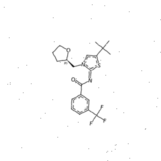 CC(C)(C)c1cn(C[C@H]2CCCO2)c(=NC(=O)c2cccc(C(F)(F)F)c2)s1